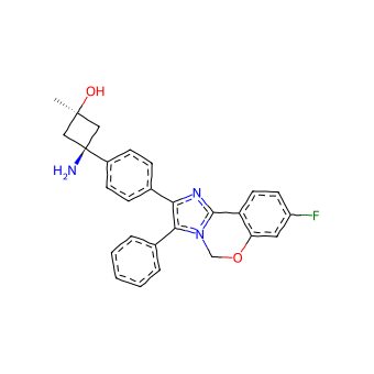 C[C@]1(O)C[C@](N)(c2ccc(-c3nc4n(c3-c3ccccc3)COc3cc(F)ccc3-4)cc2)C1